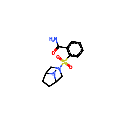 CN1C2CCC1CN(S(=O)(=O)c1ccccc1C(N)=O)C2